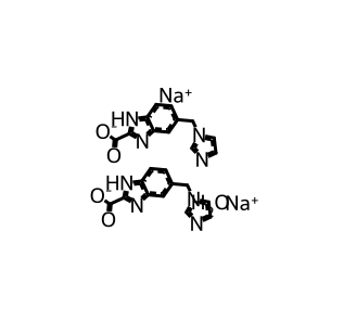 O.O=C([O-])c1nc2cc(Cn3ccnc3)ccc2[nH]1.O=C([O-])c1nc2cc(Cn3ccnc3)ccc2[nH]1.[Na+].[Na+]